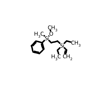 C=C[Si](CC)(CC)CC[Si](C)(OC)c1ccccc1